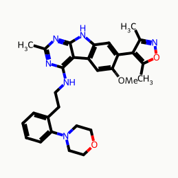 COc1cc2c(cc1-c1c(C)noc1C)[nH]c1nc(C)nc(NCCc3ccccc3N3CCOCC3)c12